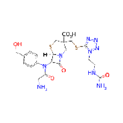 NCC(=O)N(c1ccc(CO)cc1)C1C(=O)N2CC(CSc3nnnn3CCNC(N)=O)(C(=O)O)CS[C@H]12